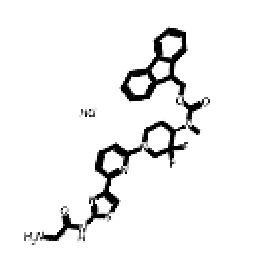 CN(C(=O)OCC1c2ccccc2-c2ccccc21)[C@@H]1CCN(c2cccc(-c3csc(NC(=O)CN)n3)n2)CC1(F)F.Cl